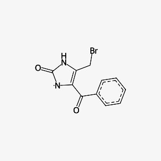 O=C1[N]C(C(=O)c2ccccc2)=C(CBr)N1